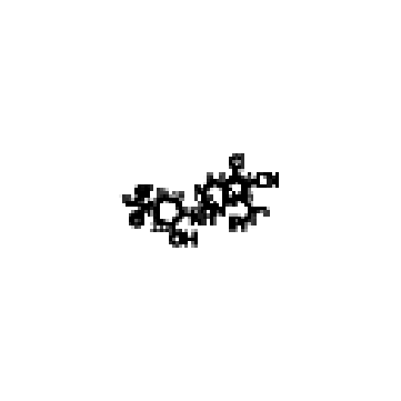 CC(C)C(C)c1c(C#N)c(Cl)c2cnc(N[C@@H]3CCN(S(C)(=O)=O)C[C@@H]3O)nn12